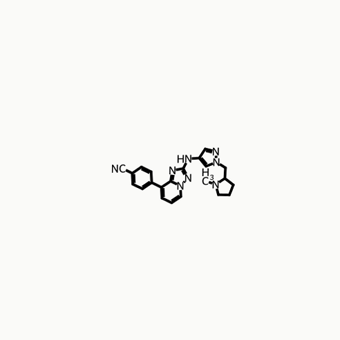 CN1CCCC1Cn1cc(Nc2nc3c(-c4ccc(C#N)cc4)cccn3n2)cn1